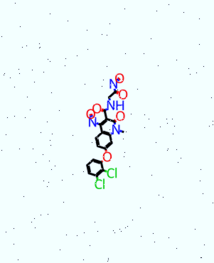 Cn1c(=O)c(C(=O)NCC(=O)N=O)c(N=O)c2ccc(Oc3cccc(Cl)c3Cl)cc21